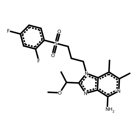 COC(C)c1nc2c(N)nc(C)c(C)c2n1CCCS(=O)(=O)c1ccc(F)cc1F